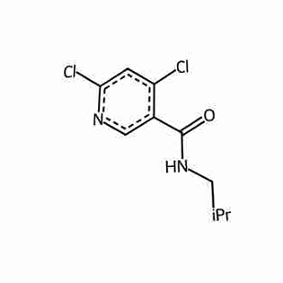 CC(C)CNC(=O)c1cnc(Cl)cc1Cl